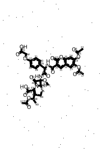 CO[C@@]1(NC(=O)C(NC(=O)c2cc3cc(OC(C)=O)c(OC(C)=O)cc3oc2=O)c2ccc(OCC(=O)O)cc2)C(=O)N2C(C(=O)O)=C(C(C)OC(C)=O)CS[C@@H]21